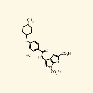 CCOC(=O)n1nc(NC(=O)c2ccc(OC3CCN(C)CC3)cc2)c2cc(C(=O)O)sc21.Cl